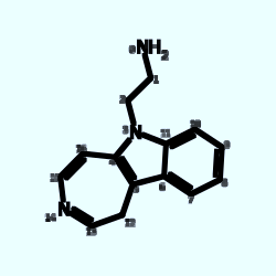 NCCn1c2c(c3ccccc31)CC=NC=C2